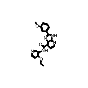 CCOc1ccncc1NC(=O)c1ccnc2[nH]c(-c3cccc(OC)c3)nc12